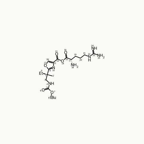 CC[C@@](C)(CNC(=O)OC(C)(C)C)c1nc(C(=O)OC(=O)[C@@H](N)CCCNC(=N)N)co1